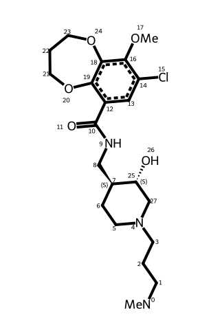 CNCCCN1CC[C@@H](CNC(=O)c2cc(Cl)c(OC)c3c2OCCCO3)[C@H](O)C1